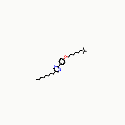 CCCCCCCCc1cnc(-c2ccc(OCCCCCC[Si](C)(C)C)cc2)nc1